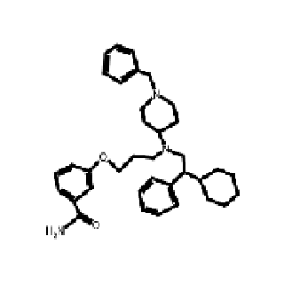 NC(=O)c1cccc(OCCCN(CC(c2ccccc2)C2CCCCC2)C2CCN(Cc3ccccc3)CC2)c1